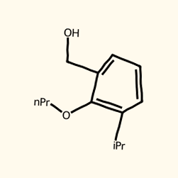 CCCOc1c(CO)cccc1C(C)C